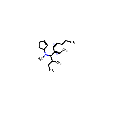 C/C=C(\C=C/CCC)C(C(C)CC)N(C)C1C=CCC1